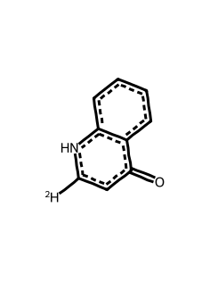 [2H]c1cc(=O)c2ccccc2[nH]1